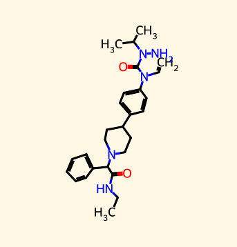 C=CN(C(=O)N(N)C(C)C)c1ccc(C2CCN(C(C(=O)NCC)c3ccccc3)CC2)cc1